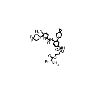 CC[C@@H](N)C(=O)OCCS(=O)(=O)Nc1ccc(NC(=O)c2ccc(N)c(N3CCC(F)(F)CC3)n2)c(N2CCC3(CC2)CC3)c1